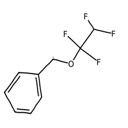 FC(F)C(F)(F)O[CH]c1ccccc1